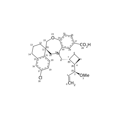 C=C[C@H](OC)[C@@H]1CC[C@H]1CN1C[C@@]2(CCCc3cc(Cl)ccc32)COc2ccc(C(=O)O)cc21